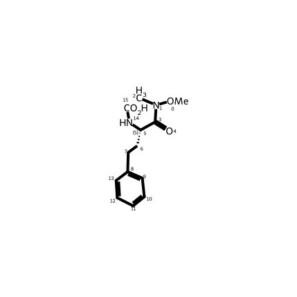 CON(C)C(=O)[C@H](CCc1ccccc1)NC(=O)O